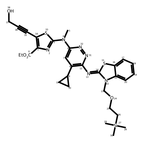 CCOC(=O)c1nc(N(C)c2cc(C3CC3)c(/N=c3\sc4ccccc4n3COCC[Si](C)(C)C)nn2)sc1C#CCO